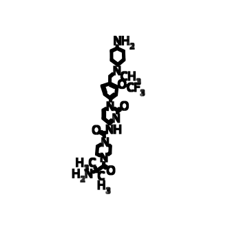 CN(Cc1ccc(-n2ccc(NC(=O)N3CCN(C(=O)C(C)(C)N)CC3)nc2=O)cc1OC(F)(F)F)C1CCC(N)CC1